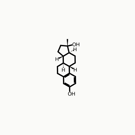 C[C@]1(O)CC[C@H]2[C@@H]3CCc4cc(O)ccc4[C@H]3CC[C@@H]21